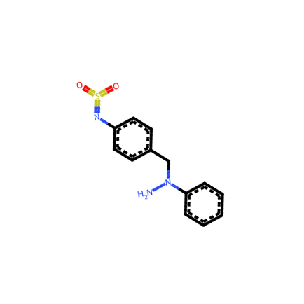 NN(Cc1ccc(N=S(=O)=O)cc1)c1ccccc1